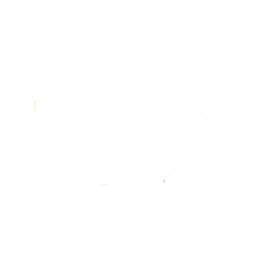 C=C(C)C(Cc1cc(F)cc(C(C)F)c1)C(C)(C)Cl